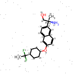 CC(F)(F)[C@H]1CC[C@@H](Oc2ccc3cc([C@@](C)(N)CO)ccc3c2)CC1